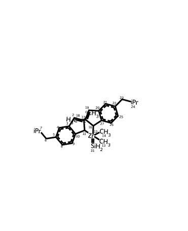 CC1=Cc2cc(CC(C)C)ccc2[CH]1[Zr]([CH3])([CH3])(=[SiH2])[CH]1C(C)=Cc2cc(CC(C)C)ccc21